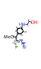 CO[C@H](c1ccc(NCCO)cc1)[C@@H](CF)N=[N+]=[N-]